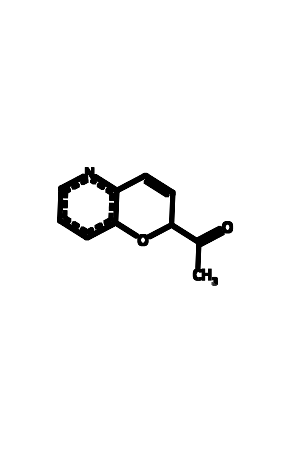 CC(=O)C1C=Cc2ncccc2O1